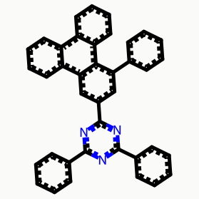 c1ccc(-c2nc(-c3ccccc3)nc(-c3cc(-c4ccccc4)c4c5ccccc5c5ccccc5c4c3)n2)cc1